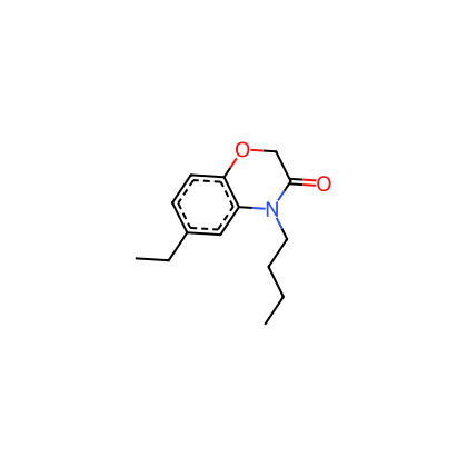 CCCCN1C(=O)COc2ccc(CC)cc21